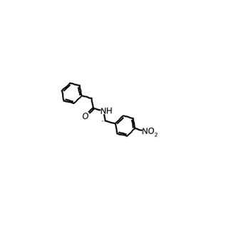 O=C(Cc1ccccc1)N[CH]c1ccc([N+](=O)[O-])cc1